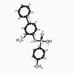 Cc1ccc(P(=O)(O)Oc2ccc(-c3ccccc3)cc2C)cc1